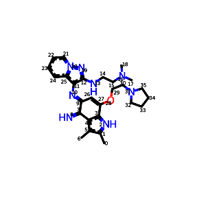 Cc1[nH]c2c(c1C)C(=N)/C(=N/c1c(NCCN(C)C)nn3ccccc13)C=C2OCCN1CCCC1